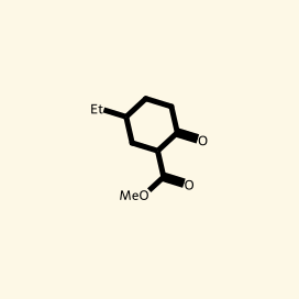 CCC1CCC(=O)C(C(=O)OC)C1